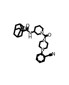 N#Cc1ccccc1N1CCN(C(=O)N2CCCC(NC(=O)C34CC5CC(C3)C(O)C(C5)C4)C2)CC1